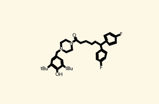 CC(C)(C)c1cc(CN2CCN(C(=O)CCCCC(c3ccc(F)cc3)c3ccc(F)cc3)CC2)cc(C(C)(C)C)c1O